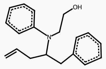 C=CCC(Cc1ccccc1)N(CCO)c1ccccc1